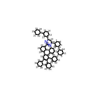 c1ccc(-c2cccc(-c3cc(-c4cccc(-c5ccccc5)c4)nc(-c4cccc(-c5cc(-c6ccccc6)c(-c6ccccc6)c(-c6ccccc6)c5-c5ccccc5)c4)n3)c2)cc1